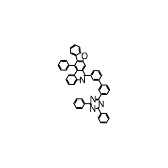 c1ccc(-c2nc(-c3ccccc3)nc(-c3cccc(-c4cccc(-c5nc6ccccc6c6c(-c7ccccc7)c7c(cc56)oc5ccccc57)c4)c3)n2)cc1